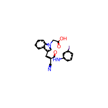 N#CC(=Cc1cn(CC(=O)O)c2ccccc12)C(=O)Nc1cccc(I)c1